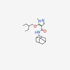 CCC(CC)COc1c(C(=O)NC2C3CC4CC(C3)CC2C4)cnn1C